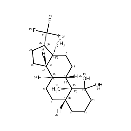 C[C@]12CC[C@H]3[C@@H](CC[C@H]4CCCC(O)(O)[C@@]43C)[C@@H]1CC[C@@H]2C(F)(F)F